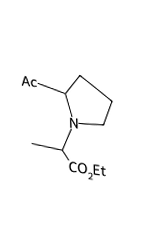 CCOC(=O)C(C)N1CCCC1C(C)=O